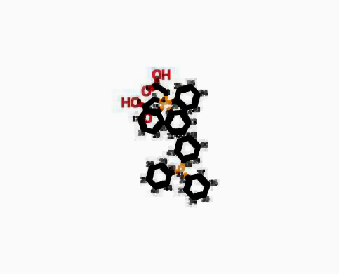 O=C(O)CP(CC(=O)O)(c1ccccc1)(c1ccccc1)c1ccccc1.c1ccc(P(c2ccccc2)c2ccccc2)cc1